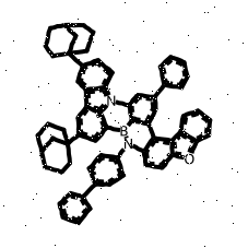 c1ccc(-c2ccc(N3B4c5c(cc(-c6ccccc6)cc5-n5c6ccc(C78CCCC(CCC7)C8)cc6c6cc(C78CCCC(CCC7)C8)cc4c65)-c4c3ccc3oc5ccccc5c43)cc2)cc1